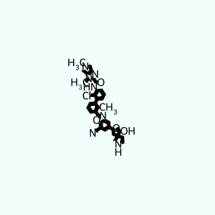 Cc1c(-c2nc3cc(CCC4(C(=O)O)CCNC4)cc(C#N)c3o2)cccc1-c1cccc(NC(=O)c2nc3c(n2C)CN(C)C3)c1Cl